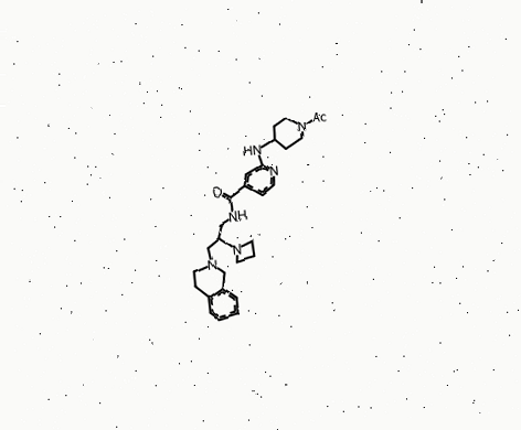 CC(=O)N1CCC(Nc2cc(C(=O)NCC(CN3CCc4ccccc4C3)N3CCC3)ccn2)CC1